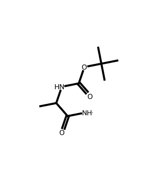 CC(NC(=O)OC(C)(C)C)C([NH])=O